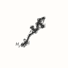 COC(=O)CNC(=O)OCCCCCCCCCCCCNC(=O)[C@@H]1CN(C(=O)c2ccc(C(=O)N3C[C@@H](C(=O)N[C@H]4C[C@@H]4c4ccccc4)[C@H](C(=O)N[C@H]4C[C@@H]4c4ccccc4)C3)cc2)C[C@H]1C(=O)N[C@H]1C[C@@H]1c1ccccc1